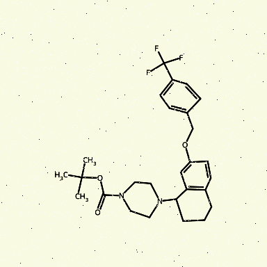 CC(C)(C)OC(=O)N1CCN(C2CCCc3ccc(OCc4ccc(C(F)(F)F)cc4)cc32)CC1